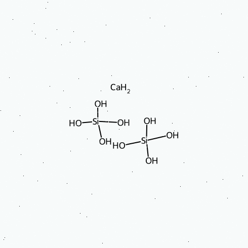 O[Si](O)(O)O.O[Si](O)(O)O.[CaH2]